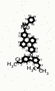 CC(C)Cc1ccc2c(c1)c1cc(CC(C)C)ccc1n2-c1ccc(-c2ccccc2-c2ccccc2-c2ccc(-c3nnc(-c4ccccc4)o3)cc2)cc1